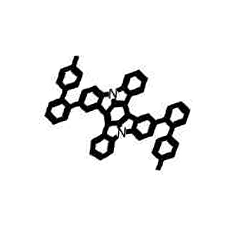 Cc1ccc(-c2ccccc2-c2ccc3c(c2)c2c4c5ccccc5n5c6ccc(-c7ccccc7-c7ccc(C)cc7)cc6c(c6c7ccccc7n3c62)c45)cc1